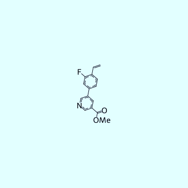 C=Cc1ccc(-c2cncc(C(=O)OC)c2)cc1F